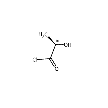 C[C@@H](O)C(=O)Cl